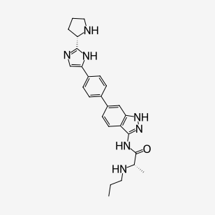 CCCN[C@@H](C)C(=O)Nc1n[nH]c2cc(-c3ccc(-c4cnc([C@@H]5CCCN5)[nH]4)cc3)ccc12